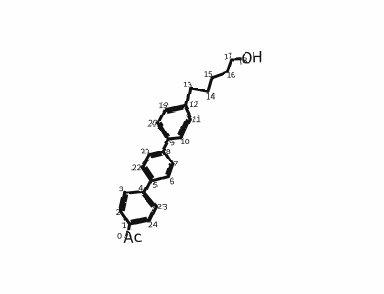 CC(=O)c1ccc(-c2ccc(-c3ccc(CCCCCO)cc3)cc2)cc1